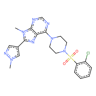 Cn1cc(-c2nc3c(N4CCN(S(=O)(=O)c5ccccc5Cl)CC4)ncnc3n2C)cn1